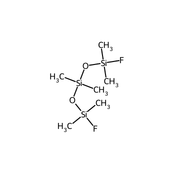 C[Si](C)(F)O[Si](C)(C)O[Si](C)(C)F